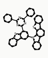 c1ccc(-c2nc(-c3ccccc3)nc(-c3cc(-n4c5ccccc5c5ccc6c7ccccc7sc6c54)cc4c3sc3ccccc34)n2)cc1